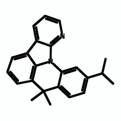 CC(C)c1ccc2c(c1)-n1c3ncccc3c3cccc(c31)C2(C)C